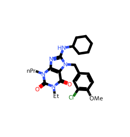 CCCn1c(=O)n(CC)c(=O)c2c1nc(NC1CCCCC1)n2Cc1ccc(OC)c(Cl)c1